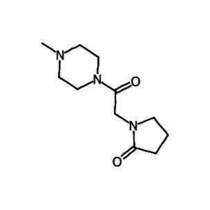 CN1CCN(C(=O)CN2CCCC2=O)CC1